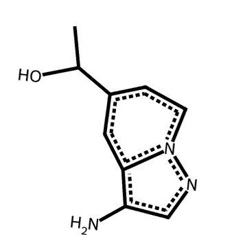 CC(O)c1ccn2ncc(N)c2c1